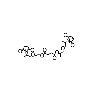 CC(COCC(C)N1C(=O)C=CC1=O)OC(=O)CCC(=O)OCCOCC(C)N1C(=O)C=CC1=O